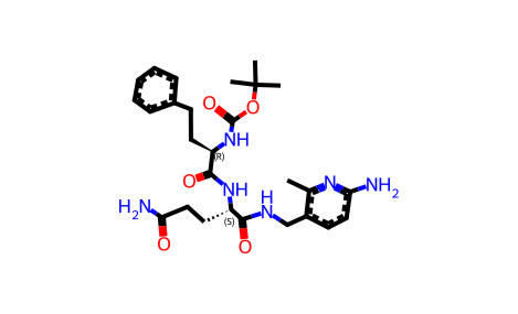 Cc1nc(N)ccc1CNC(=O)[C@H](CCC(N)=O)NC(=O)[C@@H](CCc1ccccc1)NC(=O)OC(C)(C)C